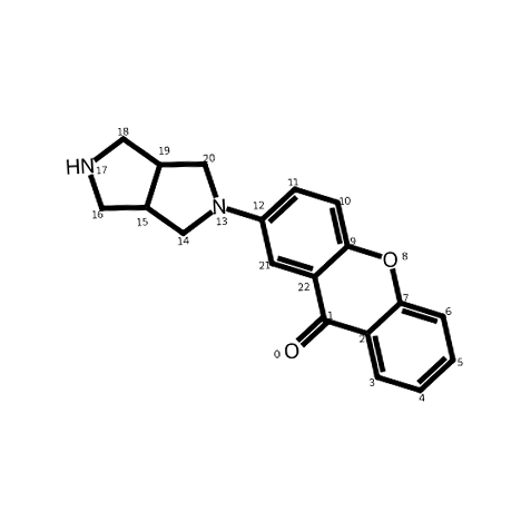 O=c1c2ccccc2oc2ccc(N3CC4CNCC4C3)cc12